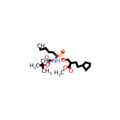 CCCCCC(NC(=O)OC(C)(C)C)[PH](=O)OCC(CCC1CCCC1)C(=O)OC